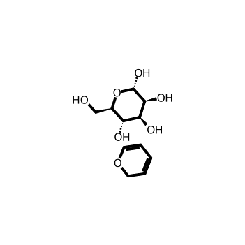 C1=CCOC=C1.OC[C@H]1O[C@H](O)[C@@H](O)[C@@H](O)[C@@H]1O